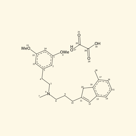 COc1cc(CCN(C)CCCC2=Cc3cccc(C)c3C2)cc(OC)c1.O=C(O)C(=O)O